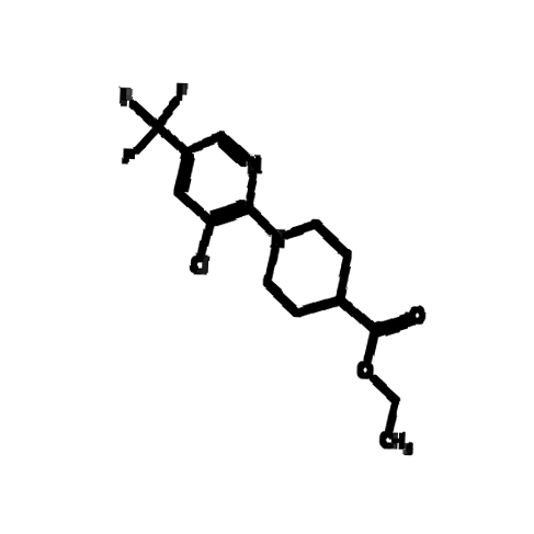 CCOC(=O)C1CCN(c2ncc(C(F)(F)F)cc2Cl)CC1